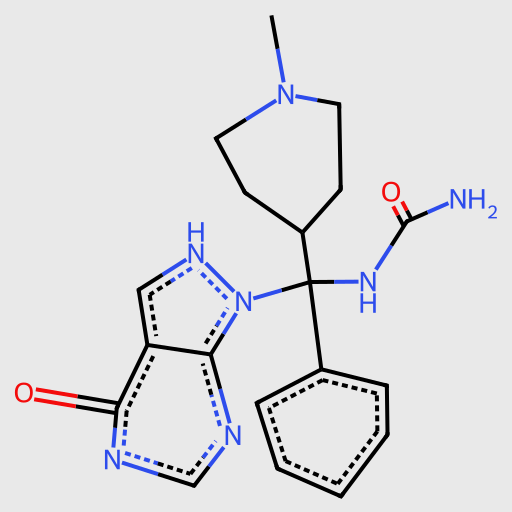 CN1CCC(C(NC(N)=O)(c2ccccc2)n2[nH]cc3c(=O)ncnc2-3)CC1